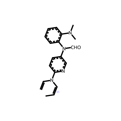 C=CN(/C=C\C)c1ccc(N(C=O)c2ccccc2N(C)C)cn1